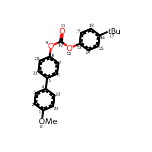 COc1ccc(-c2ccc(OC(=O)Oc3ccc(C(C)(C)C)cc3)cc2)cc1